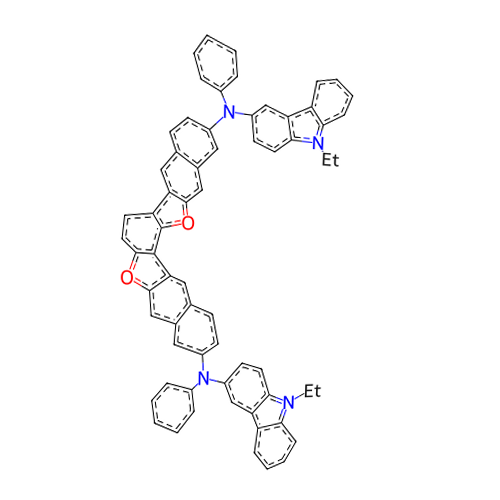 CCn1c2ccccc2c2cc(N(c3ccccc3)c3ccc4cc5c(cc4c3)oc3c5ccc4oc5cc6cc(N(c7ccccc7)c7ccc8c(c7)c7ccccc7n8CC)ccc6cc5c43)ccc21